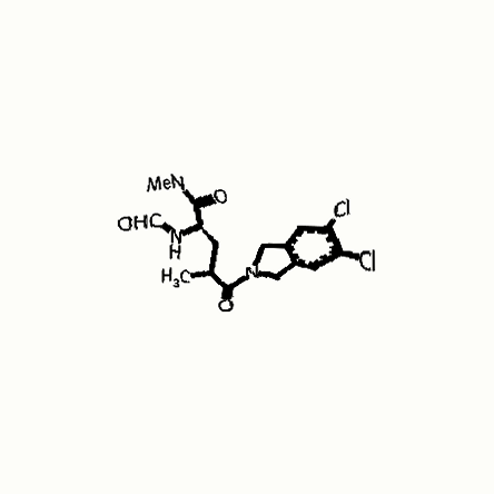 CNC(=O)[C@@H](CC(C)C(=O)N1Cc2cc(Cl)c(Cl)cc2C1)NC=O